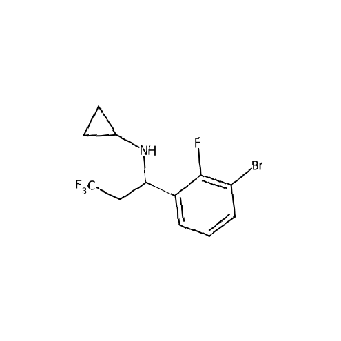 Fc1c(Br)cccc1C(CC(F)(F)F)NC1CC1